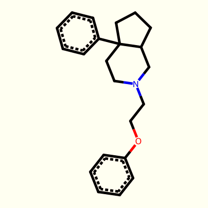 c1ccc(OCCN2CCC3(c4ccccc4)CCCC3C2)cc1